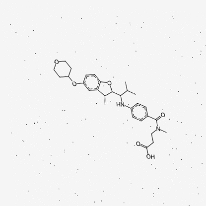 CC(C)C(Nc1ccc(C(=O)N(C)CCC(=O)O)cc1)C1Oc2ccc(OC3CCOCC3)cc2C1C